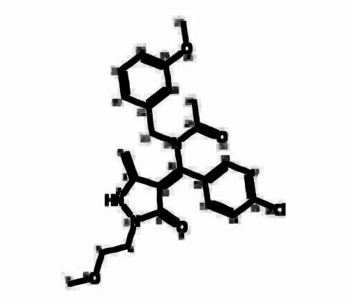 C=c1[nH]n(CCOC)c(=O)/c1=C(\c1ccc(Cl)cc1)N(Cc1cccc(OC)c1)C(C)=O